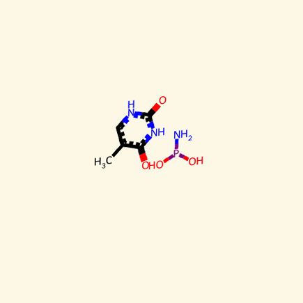 Cc1c[nH]c(=O)[nH]c1=O.NP(O)O